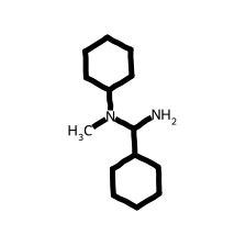 CN(C1CCCCC1)C(N)C1CCCCC1